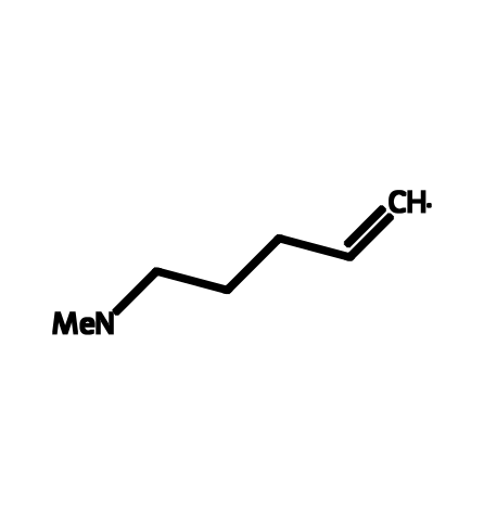 [CH]=CCCCNC